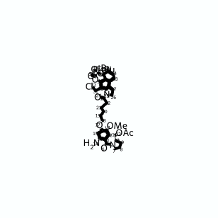 COc1cc(C(=O)N2CCC[C@H]2COC(C)=O)c(N)cc1OCCCCCC(=O)N1CC=c2c1c(CCl)c(OP(=O)(OC(C)(C)C)OC(C)(C)C)c1c2=CC=CC1